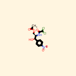 CC(=O)OC[C@@H](NC(=O)C(Cl)Cl)[C@H](O)c1ccc([N+](=O)[O-])cc1